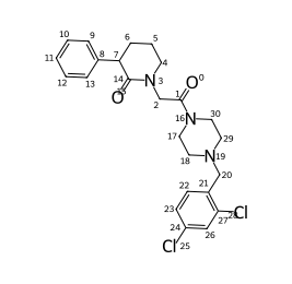 O=C(CN1CCCC(c2ccccc2)C1=O)N1CCN(Cc2ccc(Cl)cc2Cl)CC1